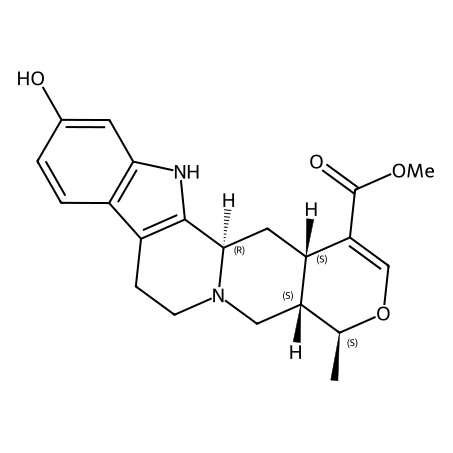 COC(=O)C1=CO[C@@H](C)[C@@H]2CN3CCc4c([nH]c5cc(O)ccc45)[C@H]3C[C@H]12